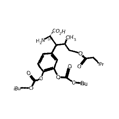 CCC(C)OC(=O)Oc1ccc(C(C(C)COC(=O)CC(C)C)[C@H](N)C(=O)O)cc1OC(=O)OC(C)CC